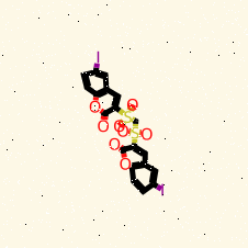 O=c1oc2ccc(I)cc2cc1S(=O)(=O)CS(=O)(=O)c1cc2cc(I)ccc2oc1=O